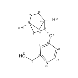 OCc1cc(O[C@@H]2C[C@H]3CC[C@@H]2C3)ccn1